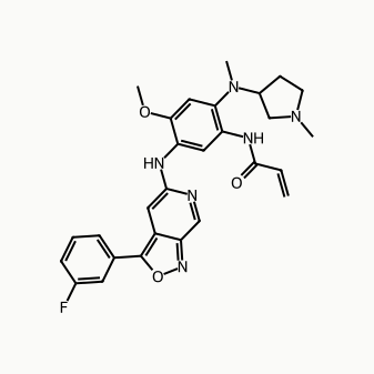 C=CC(=O)Nc1cc(Nc2cc3c(-c4cccc(F)c4)onc3cn2)c(OC)cc1N(C)C1CCN(C)C1